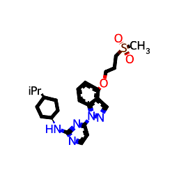 CC(C)[C@H]1CC[C@H](Nc2nccc(-n3ncc4c(OCCCS(C)(=O)=O)cccc43)n2)CC1